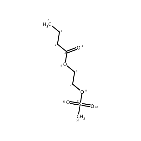 CCCC(=O)OCCOS(C)(=O)=O